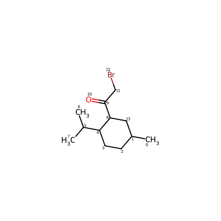 CC1CCC(C(C)C)C(C(=O)CBr)C1